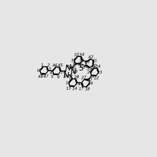 c1ccc(-c2ccc(-c3nc(-c4cccc(-c5cccc(-c6ccccc6)c5)c4)nc(-c4cccc5c4sc4ccccc45)n3)cc2)cc1